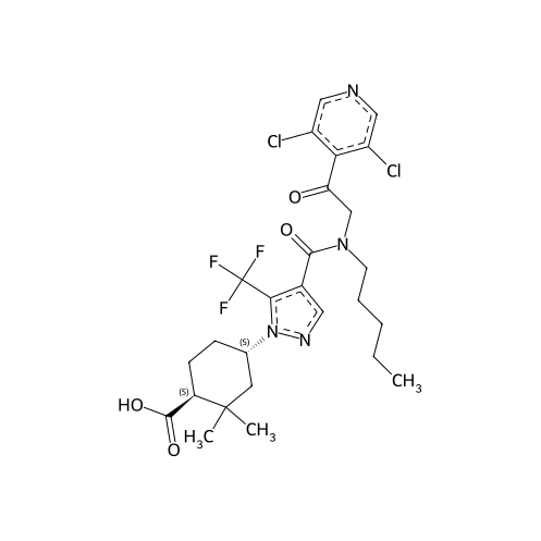 CCCCCN(CC(=O)c1c(Cl)cncc1Cl)C(=O)c1cnn([C@H]2CC[C@H](C(=O)O)C(C)(C)C2)c1C(F)(F)F